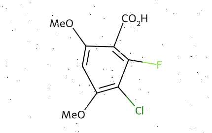 COc1cc(OC)c(C(=O)O)c(F)c1Cl